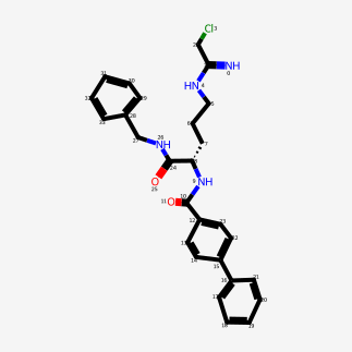 N=C(CCl)NCCC[C@H](NC(=O)c1ccc(-c2ccccc2)cc1)C(=O)NCc1ccccc1